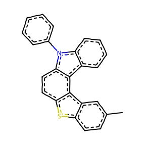 Cc1ccc2sc3ccc4c(c5ccccc5n4-c4ccccc4)c3c2c1